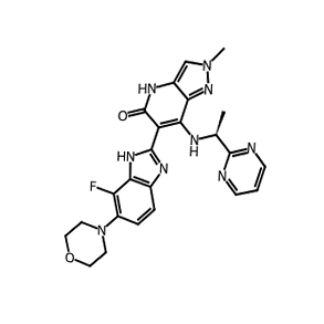 C[C@H](Nc1c(-c2nc3ccc(N4CCOCC4)c(F)c3[nH]2)c(=O)[nH]c2cn(C)nc12)c1ncccn1